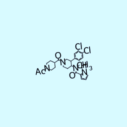 CC(=O)N1CCC(C(=O)N2CCC(N(C)C(=O)c3ccc[nH]3)C(c3ccc(Cl)c(Cl)c3)C2)CC1